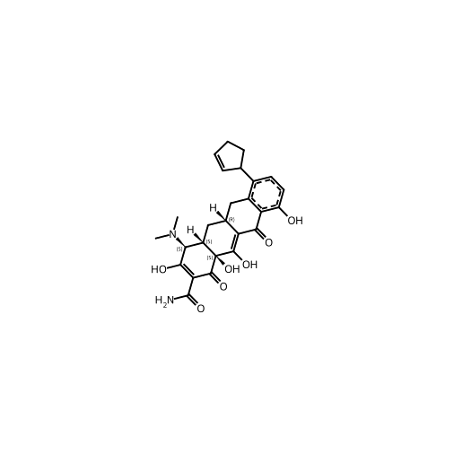 CN(C)[C@@H]1C(O)=C(C(N)=O)C(=O)[C@@]2(O)C(O)=C3C(=O)c4c(O)ccc(C5C=CCC5)c4C[C@H]3C[C@@H]12